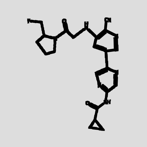 N#Cc1ncc(-c2cnc(NC(=O)C3CC3)cn2)cc1NCC(=O)N1CCCC1CF